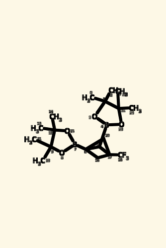 CC1(C)OB(C2C3(B4OC(C)(C)C(C)(C)O4)CC2(C(F)(F)F)C3)OC1(C)C